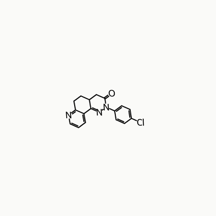 O=C1CC2CCc3ncccc3C2=NN1c1ccc(Cl)cc1